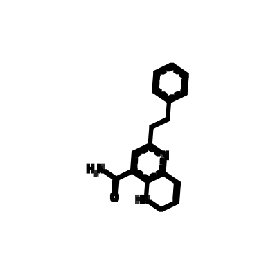 NC(=O)c1cc(CCc2ccccc2)nc2c1NCC=C2